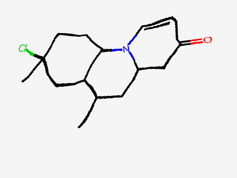 CC1CC2CC(=O)C=CN2C2CCC(C)(Cl)CC12